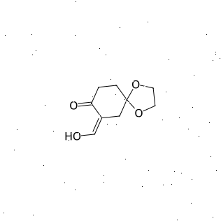 O=C1CCC2(CC1=CO)OCCO2